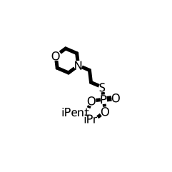 CCCC(C)OP(=O)(OC(C)C)SCCN1CCOCC1